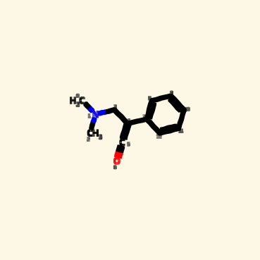 CN(C)CC(=C=O)c1ccccc1